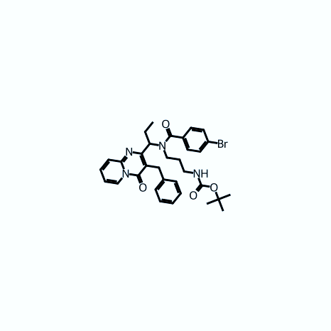 CCC(c1nc2ccccn2c(=O)c1Cc1ccccc1)N(CCCNC(=O)OC(C)(C)C)C(=O)c1ccc(Br)cc1